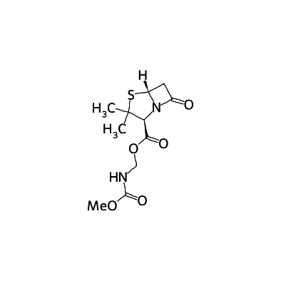 COC(=O)NCOC(=O)[C@@H]1N2C(=O)C[C@H]2SC1(C)C